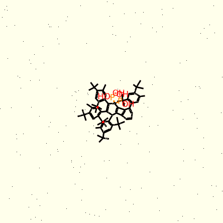 Cc1cc(C2=C(c3cc(C)c(C(C)(C)C)cc3C(C)(C)C)C(P(O)O)(P(O)O)C3=C(c4cccc(-c5cc(C)c(C(C)(C)C)cc5C(C)(C)C)c43)C2c2cc(C)c(C(C)(C)C)cc2C(C)(C)C)c(C(C)(C)C)cc1C(C)(C)C